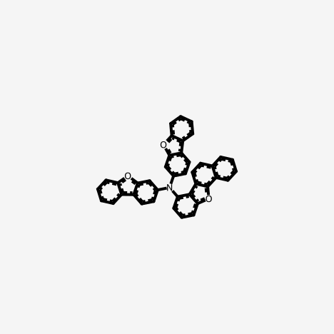 c1ccc2c(c1)ccc1c2oc2cccc(N(c3ccc4c(c3)oc3ccccc34)c3ccc4c(c3)oc3ccccc34)c21